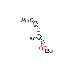 COc1ccc(COCc2cc(C(C)=O)cc(C3(F)CN(C(=O)OC(C)(C)C)C3)c2)cc1